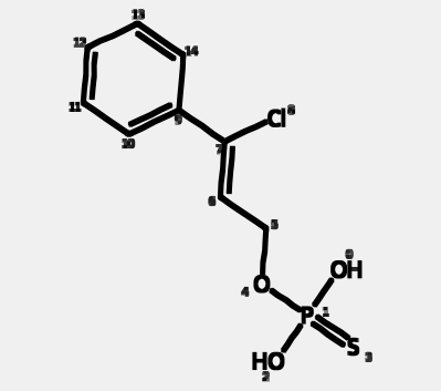 OP(O)(=S)OCC=C(Cl)c1ccccc1